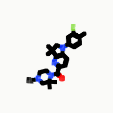 CCN1CCN(C(=O)c2ccc3c(n2)C(C)(C)CN3c2ccc(C)c(F)c2)C(C)(C)C1